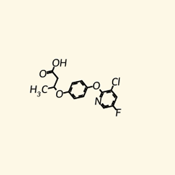 CC(CC(=O)O)Oc1ccc(Oc2ncc(F)cc2Cl)cc1